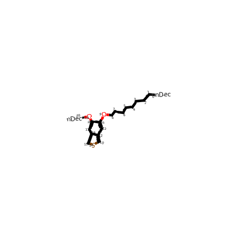 CCCCCCCCCCCCCCCCCCOc1cc2cscc2cc1OCCCCCCCCCC